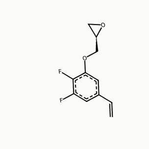 C=Cc1cc(F)c(F)c(OC[C@H]2CO2)c1